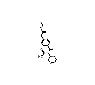 CCOC(=O)Cc1ccc(C(=O)N(C(=O)O)C2CC=CCC2)cc1